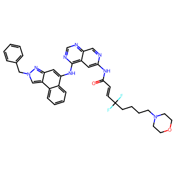 O=C(C=CC(F)(F)CCCCN1CCOCC1)Nc1cc2c(Nc3cc4nn(Cc5ccccc5)cc4c4ccccc34)ncnc2cn1